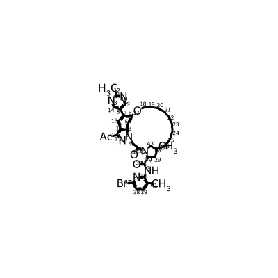 CC(=O)c1nn2c3cc(c(-c4cnc(C)nc4)cc13)OCCCCCCCCC[C@]1(C)C[C@@H](C(=O)Nc3nc(Br)ccc3C)N(C1)C(=O)C2